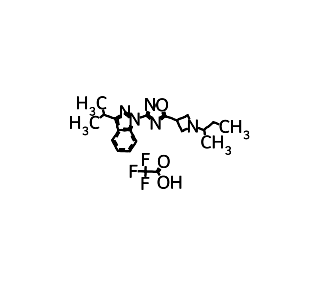 CCC(C)N1CC(c2nc(-n3nc(C(C)C)c4ccccc43)no2)C1.O=C(O)C(F)(F)F